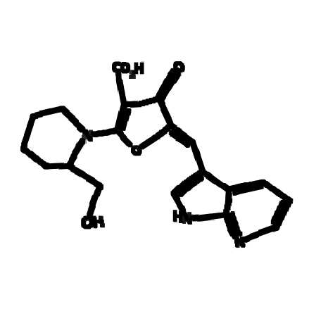 O=C(O)C1=C(N2CCCCC2CO)OC(=Cc2c[nH]c3ncccc23)C1=O